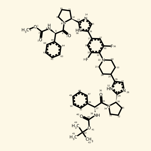 COC(=O)N[C@@H](C(=O)N1CCC[C@H]1c1ncc(-c2cc(F)c(N3CCC(c4cnc([C@@H]5CCCN5C(=O)[C@H](NC(=O)OC(C)(C)C)c5ccccc5)[nH]4)CC3)c(F)c2)[nH]1)c1ccccc1